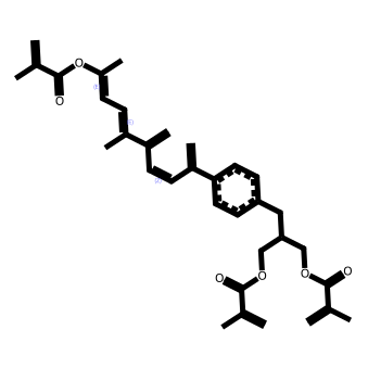 C=C(C)C(=O)OCC(COC(=O)C(=C)C)Cc1ccc(C(=C)/C=C\C(=C)/C(C)=C/C=C(\C)OC(=O)C(=C)C)cc1